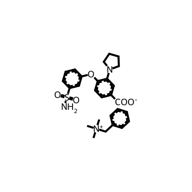 C[N+](C)(C)Cc1ccccc1.NS(=O)(=O)c1cccc(Oc2ccc(C(=O)[O-])cc2N2CCCC2)c1